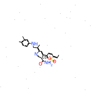 C=C(/C=C\C(=C/C)S(C)(=O)=O)/C(=C/C(/N=C\CC(N)=O)=C(\C)CNc1ccc(C)c(C)c1)CC